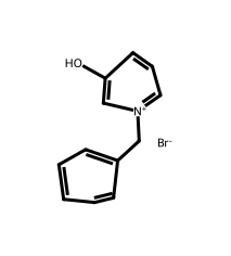 Oc1ccc[n+](Cc2ccccc2)c1.[Br-]